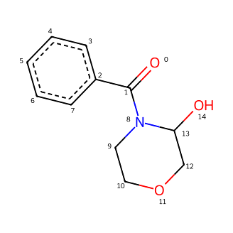 O=C(c1ccccc1)N1CCOCC1O